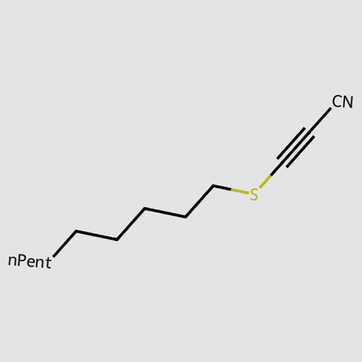 CCCCCCCCCCSC#CC#N